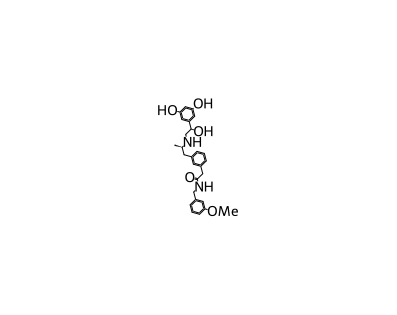 COc1cccc(CNC(=O)Cc2cccc(C[C@@H](C)NC[C@H](O)c3cc(O)cc(O)c3)c2)c1